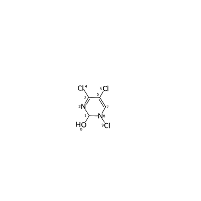 OC1N=C(Cl)C(Cl)=CN1Cl